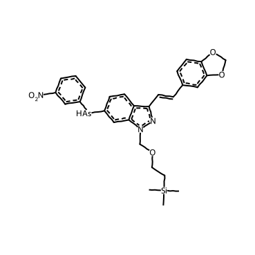 C[Si](C)(C)CCOCn1nc(C=Cc2ccc3c(c2)OCO3)c2ccc([AsH]c3cccc([N+](=O)[O-])c3)cc21